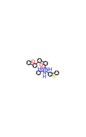 c1ccc(C2NC(c3ccc4sc5ccccc5c4c3)NC(c3cccc4c3oc3c(-c5cccc6c5oc5ccccc56)cccc34)N2)cc1